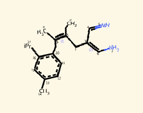 C/C(C/C(C=N)=C/N)=C(\C)c1ccc(C)cc1C(C)C